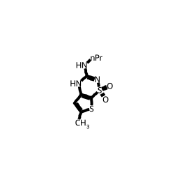 CCCNC1=NS(=O)(=O)c2sc(C)cc2N1